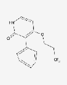 O=c1[nH]ccc(OCCC(F)(F)F)c1-c1ccccc1